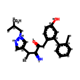 CCC(C(=N)C(=O)Cc1ccc(O)cc1-c1ccccc1C)c1cnn(CC(C)C(=O)O)c1